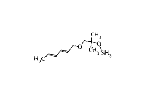 C/C=C/C=C/COCC(C)(C)O[SiH3]